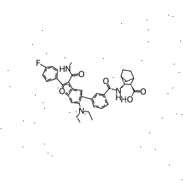 CCN(CC)c1cc2oc(-c3ccc(F)cc3)c(C(=O)NC)c2cc1-c1cccc(C(=O)N[C@H]2C3CCC(C3)[C@H]2C(=O)O)c1